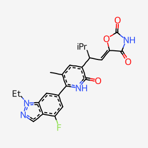 CCn1ncc2c(F)cc(-c3[nH]c(=O)c(C(C=C4OC(=O)NC4=O)C(C)C)cc3C)cc21